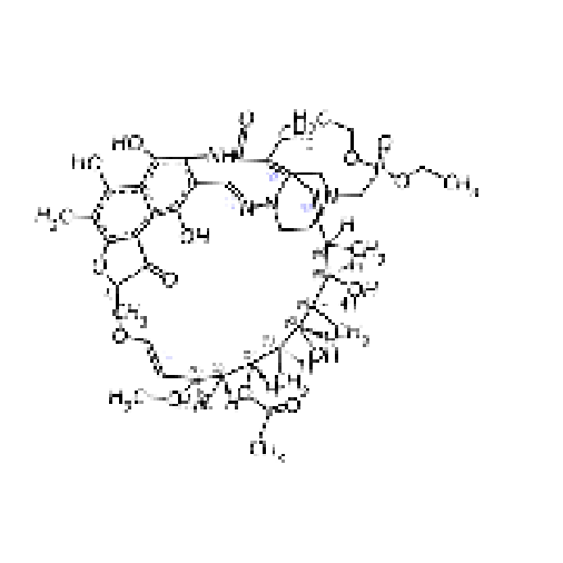 CCOP(=O)(CN1CCN(/N=C/c2c3c(O)c4c(O)c(C)c5c(c4c2O)C(=O)[C@@](C)(O/C=C/[C@H](OC)[C@@H](C)[C@@H](OC(C)=O)[C@H](C)[C@@H](O)[C@H](C)[C@H](O)[C@H](C)/C=C/C=C(/C)C(=O)N3)O5)CC1)OCC